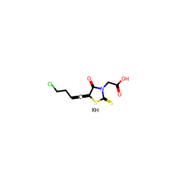 O=C(O)CN1C(=O)C(=C=CCCCl)SC1=S.[KH]